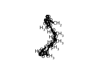 C=CCOC(=O)N1c2cc(OCCCCC(=O)c3cc(NC(=O)c4nc(NC(=O)c5cc(NC(=O)CCCOc6cc7c(cc6OC)C(=O)N6CCC[C@H]6[C@H](OC6CCCCO6)N7C(=O)OCC=C)cn5C)cn4C)cn3C)c(OC)cc2C(=O)N2CCC[C@H]2[C@@H]1O